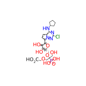 O=C(O)COCC(CO)(OC[C@H]1O[C@H](c2ccc3c(NC4CCCC4)nc(Cl)nn23)[C@H](O)[C@@H]1O)P(=O)(O)O